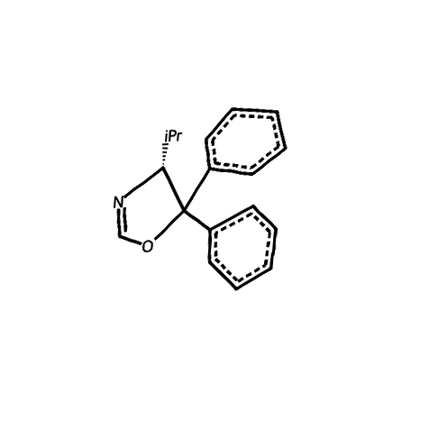 CC(C)[C@H]1N=COC1(c1ccccc1)c1ccccc1